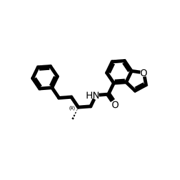 C[C@H](CCc1ccccc1)CNC(=O)c1cccc2occc12